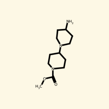 COC(=O)N1CCC(N2CCC(N)CC2)CC1